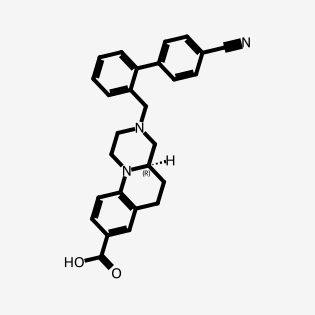 N#Cc1ccc(-c2ccccc2CN2CCN3c4ccc(C(=O)O)cc4CC[C@@H]3C2)cc1